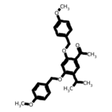 COc1ccc(COc2cc(OCc3ccc(OC)cc3)c(C(C)C)cc2C(C)=O)cc1